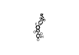 O=C1CCC(N2Cc3cc(N4CCN(S(=O)(=O)CC5CCC5)CC4)c(F)cc3C2=O)C(=O)N1